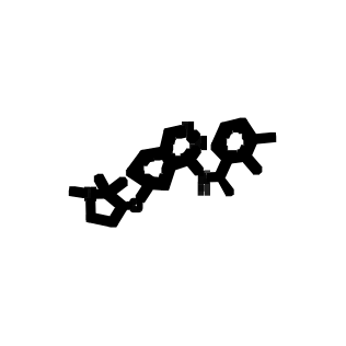 Cc1cccc([C@@H](C)Nc2nncc3ccc(O[C@H]4CCN(C)C4(C)C)cc23)c1C